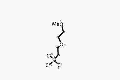 COCCOCC[Si](Cl)(Cl)Cl